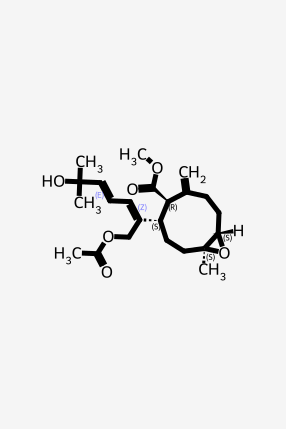 C=C1CC[C@@H]2O[C@@]2(C)CC[C@H](/C(=C/C=C/C(C)(C)O)COC(C)=O)[C@H]1C(=O)OC